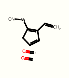 C=CC1=[C]([W][N]=O)CC=C1.[C]=O.[C]=O